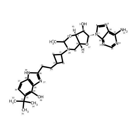 CC1O[C@H]2[C@@H](O)[C@H](n3cnc4c(N)ncnc43)O[C@@H]2CN1C1CC(CCc2nc3c(O)c(C(C)(C)C)ccc3[nH]2)C1